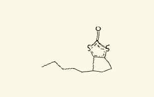 CCCCCC1CCc2sc(=O)sc21